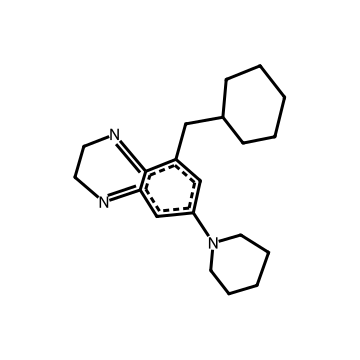 c1c(N2CCCCC2)cc2c(c1CC1CCCCC1)=NCCN=2